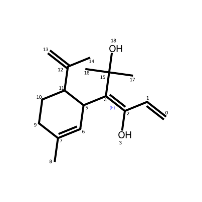 C=C/C(O)=C(/C1C=C(C)CCC1C(=C)C)C(C)(C)O